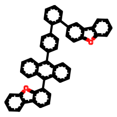 c1ccc(-c2ccc3oc4ccccc4c3c2)c(-c2ccc(-c3c4ccccc4c(-c4cccc5c4oc4ccccc45)c4ccccc34)cc2)c1